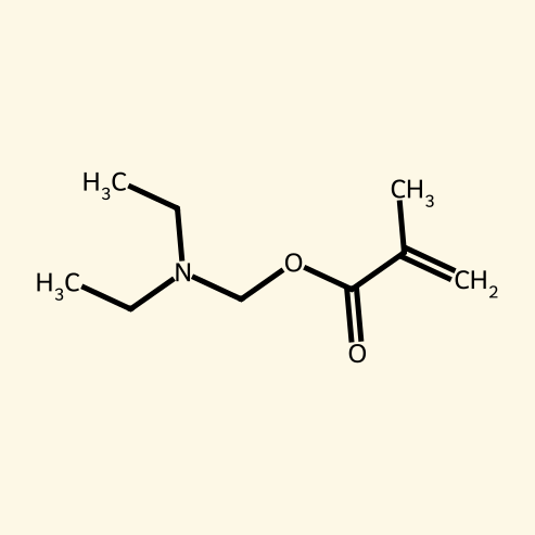 C=C(C)C(=O)OCN(CC)CC